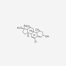 CC(=O)O[C@]1(C(C)=O)CC[C@H]2[C@@H]3C=C(Cl)C4=CC(O)CC[C@]4(C)[C@H]3CC[C@@]21C